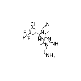 C=C(/N=C\C=C/N)N/C(=N\C=N)C(C)N(CC#N)C(=O)c1cc(Cl)cc(C(F)(F)F)c1